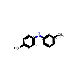 Cc1ccc(Nc2[c]ccc(C)c2)cc1